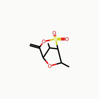 C=C1OS(=O)(=O)C2C(C)OC1C2C